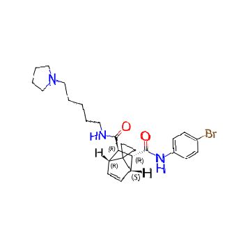 O=C(NCCCCCN1CCCC1)[C@H]1[C@H](C(=O)Nc2ccc(Br)cc2)[C@@H]2C=C[C@H]1C21CC1